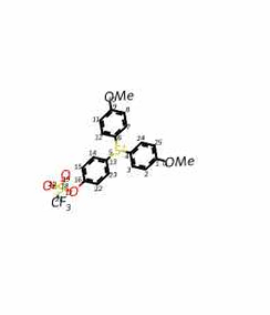 COc1ccc([S+](c2ccc(OC)cc2)c2ccc(OS(=O)(=O)C(F)(F)F)cc2)cc1